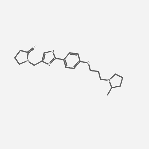 CC1CCCN1CCCOc1ccc(-c2nc(CN3CCCC3=O)co2)cc1